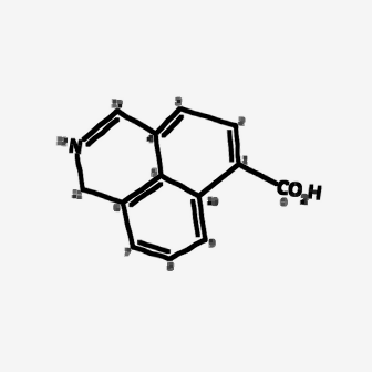 O=C(O)c1ccc2c3c(cccc13)CN=C2